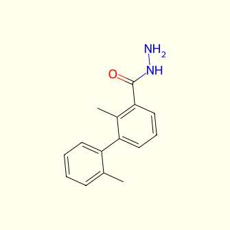 Cc1ccccc1-c1cccc(C(=O)NN)c1C